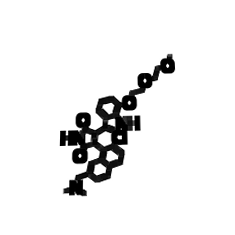 COCCOCCOc1cccc2c(C3=C(c4c(Cl)ccc5ccc(CN(C)C)cc45)C(=O)NC3=O)c[nH]c12